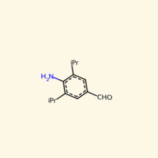 CC(C)c1cc(C=O)cc(C(C)C)c1N